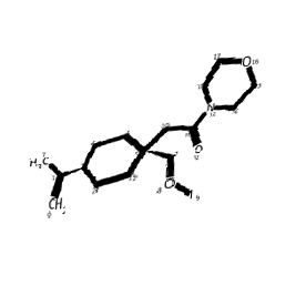 C=C(C)[C@H]1CC[C@](COI)(CC(=O)N2CCOCC2)CC1